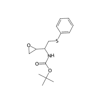 CC(C)(C)OC(=O)NC(CSc1ccccc1)C1CO1